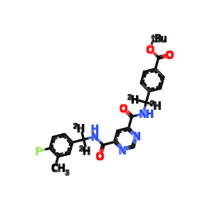 [2H]C([2H])(NC(=O)c1cc(C(=O)NC([2H])([2H])c2ccc(F)c(C)c2)ncn1)c1ccc(C(=O)OC(C)(C)C)cc1